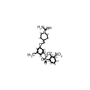 Cc1cc(OCC2CCN(C(=N)N)CC2)cc(OS(=O)(=O)c2cccc([N+](=O)[O-])c2Cl)c1